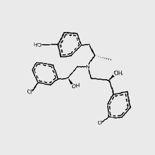 C[C@@H](Cc1ccc(O)cc1)N(C[C@@H](O)c1cccc(Cl)c1)C[C@@H](O)c1cccc(Cl)c1